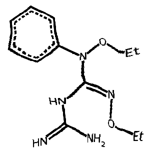 CCON=C(NC(=N)N)N(OCC)c1ccccc1